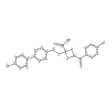 O=C(c1ccc(Cl)cc1)N1CC(COc2ccc(-c3ccc(Cl)cn3)cc2)(C(=O)O)C1